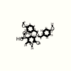 COc1ccc(CN(Cc2ccc(OC)cc2)c2cc(B(O)O)c(C)n(C)c2=O)cc1